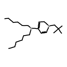 CCCCCCN(CCCCCC)C1=CCN(CC(C)(C)C)C=C1